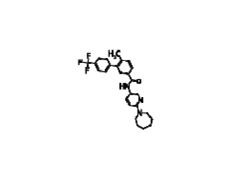 Cc1ccc(C(=O)Nc2ccc(N3CCCCCC3)nc2)cc1-c1ccc(C(F)(F)F)cc1